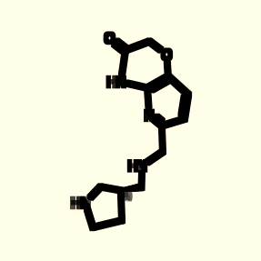 O=C1COc2ccc(CNC[C@H]3CCNC3)nc2N1